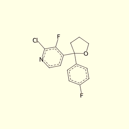 Fc1ccc(C2(c3ccnc(Cl)c3F)CCCO2)cc1